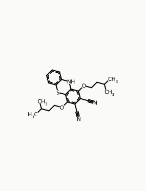 CC(C)CCOc1c(C#N)c(C#N)c(OCCC(C)C)c2c1Nc1ccccc1S2